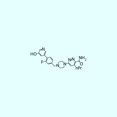 CCCc1cc(N2CCN(Cc3ccc(-c4cncc(O)c4)c(F)c3)CC2)nnc1C(N)=O